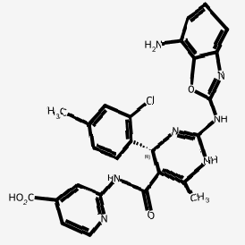 CC1=C(C(=O)Nc2cc(C(=O)O)ccn2)[C@H](c2ccc(C)cc2Cl)N=C(Nc2nc3cccc(N)c3o2)N1